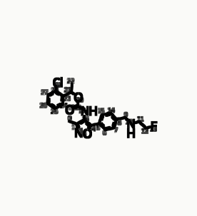 Cc1noc(-c2ccc(CNCCF)cc2)c1NC(=O)OC(C)c1ccccc1Cl